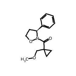 COCC1(C(=O)N2OCC[C@H]2c2ccccc2)CC1